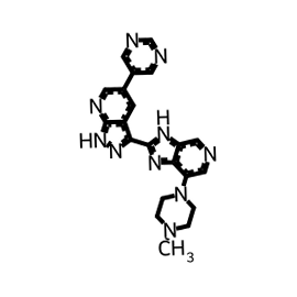 CN1CCN(c2cncc3[nH]c(-c4n[nH]c5ncc(-c6cncnc6)cc45)nc23)CC1